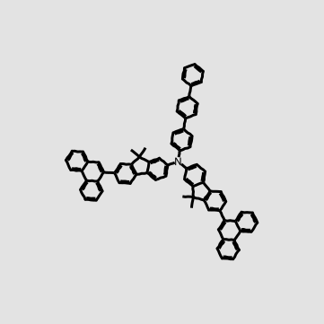 CC1(C)c2cc(-c3cc4ccccc4c4ccccc34)ccc2-c2ccc(N(c3ccc(-c4ccc(-c5ccccc5)cc4)cc3)c3ccc4c(c3)C(C)(C)c3cc(-c5cc6ccccc6c6ccccc56)ccc3-4)cc21